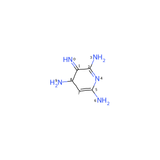 N=C1C(N)=NC(N)=CC1N